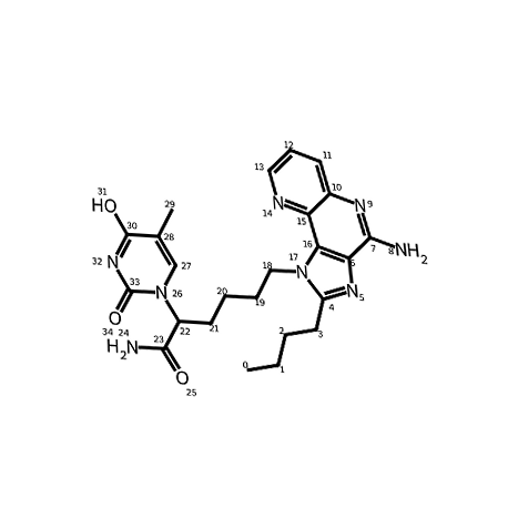 CCCCc1nc2c(N)nc3cccnc3c2n1CCCCC(C(N)=O)n1cc(C)c(O)nc1=O